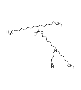 CCCCCCCCC(CCCCCC)C(=O)OCCCCCCN(CCCC#N)CCCCCC